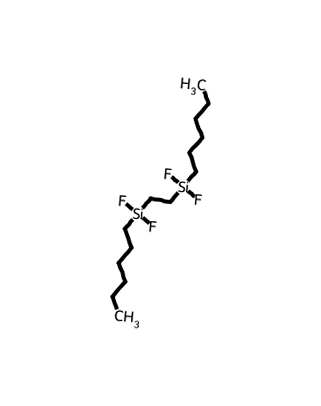 CCCCCC[Si](F)(F)CC[Si](F)(F)CCCCCC